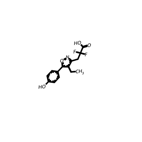 CCc1c(CC(F)(F)C(=O)O)noc1-c1ccc(O)cc1